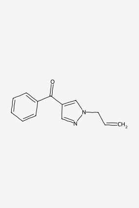 C=CCn1cc(C(=O)c2ccccc2)cn1